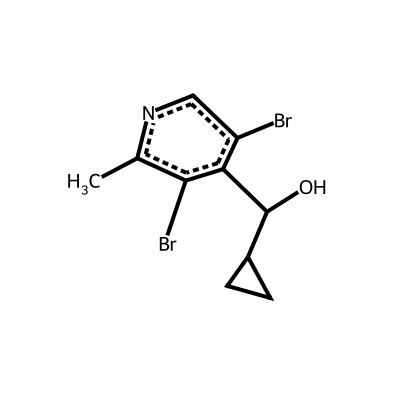 Cc1ncc(Br)c(C(O)C2CC2)c1Br